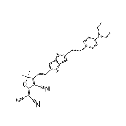 CCN(CC)c1ccc(/C=C/c2cc3sc(/C=C/C4=C(C#N)C(=C(C#N)C#N)OC4(C)C)cc3s2)cc1